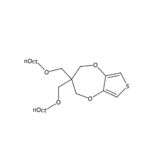 CCCCCCCCOCC1(COCCCCCCCC)COc2cscc2OC1